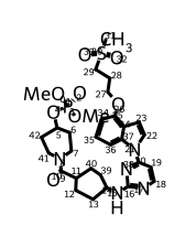 COP(=O)(OC)OC1CCN(C(=O)C2CCC(Nc3nccc(-n4ccc5c(OCCCS(C)(=O)=O)cccc54)n3)CC2)CC1